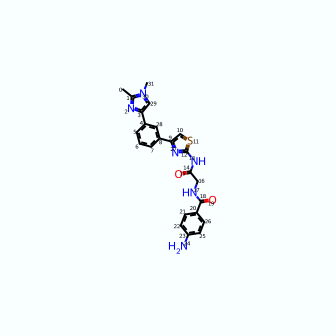 Cc1nc(-c2cccc(-c3csc(NC(=O)CNC(=O)c4ccc(N)cc4)n3)c2)cn1C